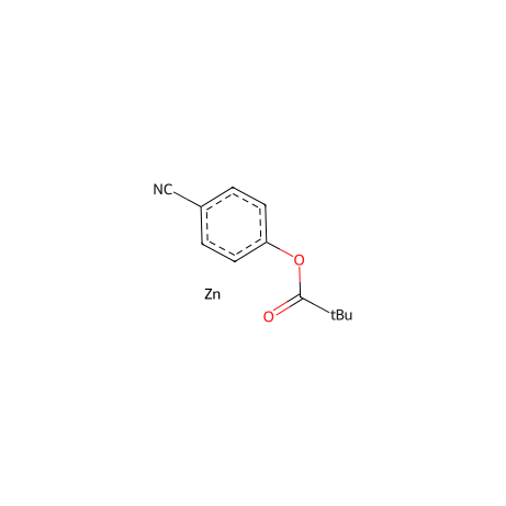 CC(C)(C)C(=O)Oc1ccc(C#N)cc1.[Zn]